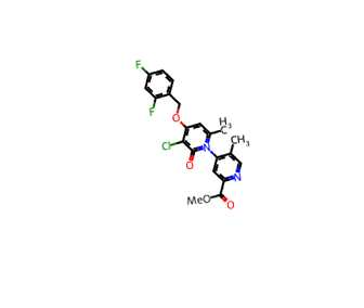 COC(=O)c1cc(-n2c(C)cc(OCc3ccc(F)cc3F)c(Cl)c2=O)c(C)cn1